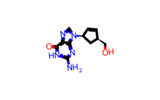 Nc1nc2c(ncn2[C@H]2C=C[C@@H](CO)C2)c(=O)[nH]1